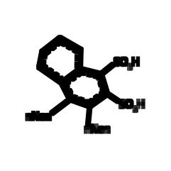 CCCCCCCCCc1c(S(=O)(=O)O)c(S(=O)(=O)O)c2ccccc2c1CCCCCCCCC